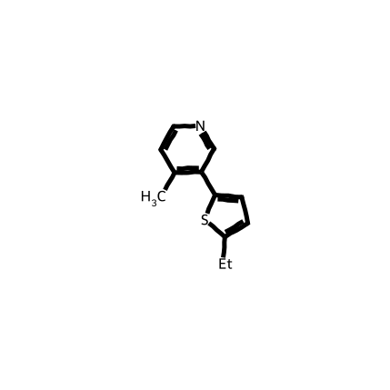 CCc1ccc(-c2cnccc2C)s1